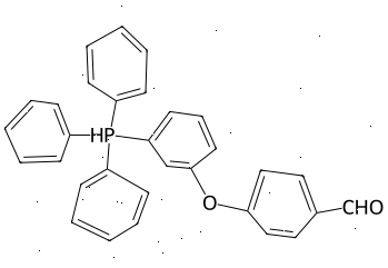 O=Cc1ccc(Oc2cccc([PH](c3ccccc3)(c3ccccc3)c3ccccc3)c2)cc1